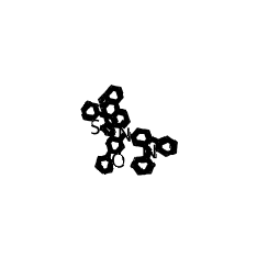 c1ccc(-n2c3ccccc3c3ccc(N(c4ccc5c(c4)C4(c6ccccc6Sc6ccccc64)c4cccc6cccc-5c46)c4ccc5c(c4)oc4ccccc45)cc32)cc1